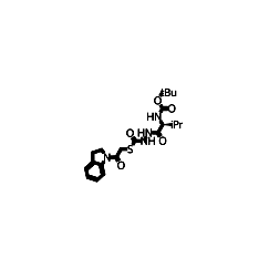 CC(C)[C@H](NC(=O)OC(C)(C)C)C(=O)NNC(=O)SCC(=O)N1CCc2ccccc21